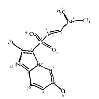 CN(C)/C=N/S(=O)(=O)c1c(Cl)nc2ccc(Cl)nn12